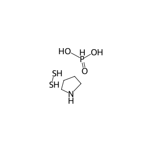 C1CCNC1.O=[PH](O)O.SS